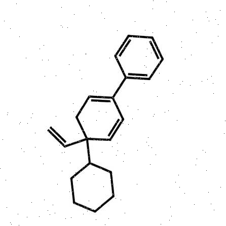 C=CC1(C2CCCCC2)C=CC(c2ccccc2)=CC1